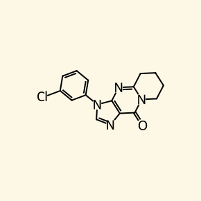 O=c1c2ncn(-c3cccc(Cl)c3)c2nc2n1CCCC2